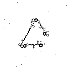 O=C(CCCCCCCCCCCCC(=O)OCN1C(=O)CCc2ccc(OCCCCNCCNc3cccc(Cl)c3Cl)cc21)OCN1C(=O)CCc2ccc(OCCCCNCCNc3cccc(Cl)c3Cl)cc21